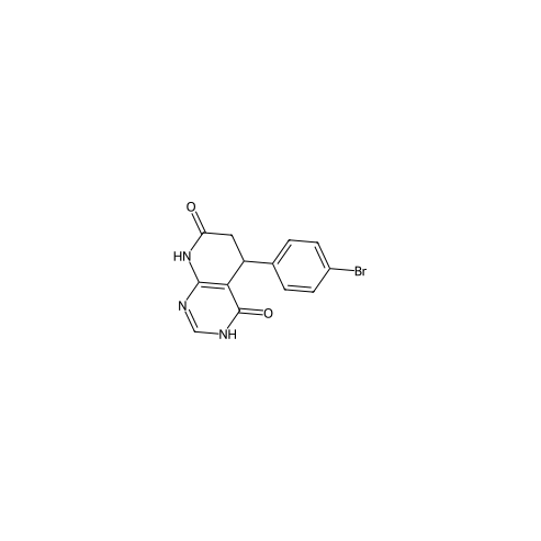 O=C1CC(c2ccc(Br)cc2)c2c(nc[nH]c2=O)N1